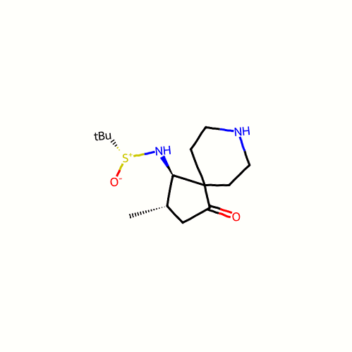 C[C@H]1CC(=O)C2(CCNCC2)[C@@H]1N[S@+]([O-])C(C)(C)C